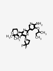 CCC(C)Oc1cc(-c2nc(N3CCC(F)(F)C3)c3nc4n(c3n2)CCOC4(C)C)cnc1N